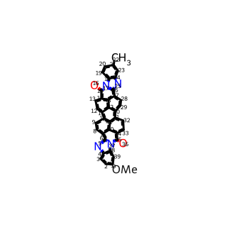 COc1ccc2nc3c4ccc5c6ccc7c(=O)n8c9ccc(C)cc9nc8c8ccc(c9ccc(c(=O)n3c2c1)c4c95)c6c78